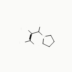 CC([SiH3])=C(C)C(C)N1CCCC1